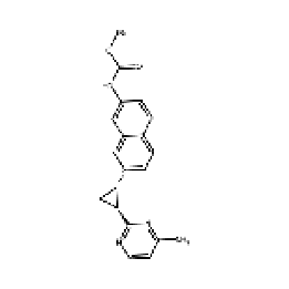 Cc1ccnc([C@H]2C[C@@H]2c2ccc3ncc(NC(=O)OC(C)(C)C)cc3n2)n1